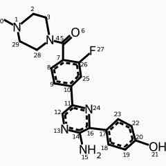 CN1CCN(C(=O)c2ccc(-c3cnc(N)c(-c4ccc(O)cc4)n3)cc2F)CC1